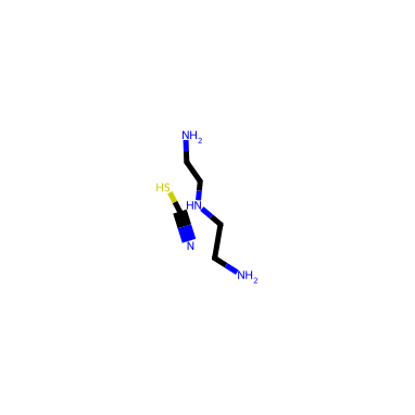 N#CS.NCCNCCN